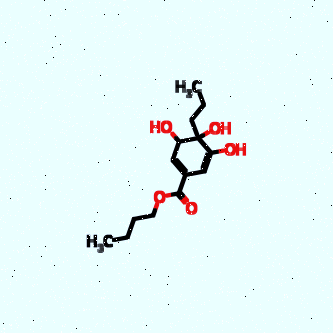 CCCCOC(=O)C1=CC(O)C(O)(CCC)C(O)=C1